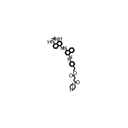 CN1CCN(C(=O)CCC(=O)OCCc2ccc(/N=N/c3ccc(/N=N/c4ccc5c6c(cccc46)NC(C)(C)N5)c4ccccc34)cc2)CC1